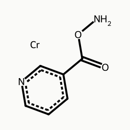 NOC(=O)c1cccnc1.[Cr]